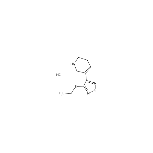 Cl.FC(F)(F)CSc1nsnc1C1=CCCNC1